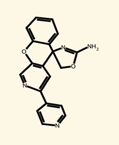 NC1=NC2(CO1)c1ccccc1Oc1cnc(-c3ccncc3)cc12